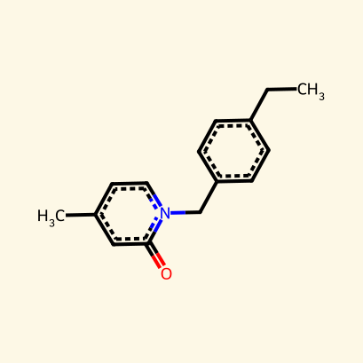 CCc1ccc(Cn2ccc(C)cc2=O)cc1